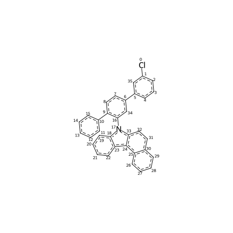 Clc1cccc(-c2ccc(-c3ccccc3)c(-n3c4ccccc4c4c5ccccc5ccc43)c2)c1